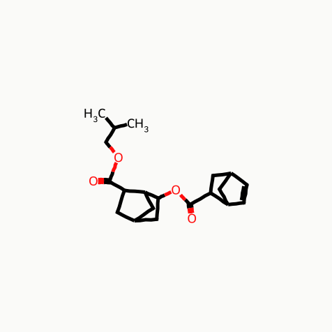 CC(C)COC(=O)C1CC2CC(OC(=O)C3CC4C=CC3C4)C1C2